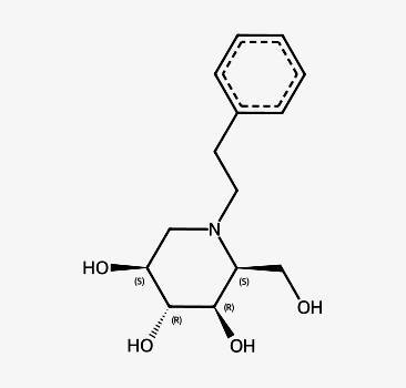 OC[C@H]1[C@@H](O)[C@H](O)[C@@H](O)CN1CCc1ccccc1